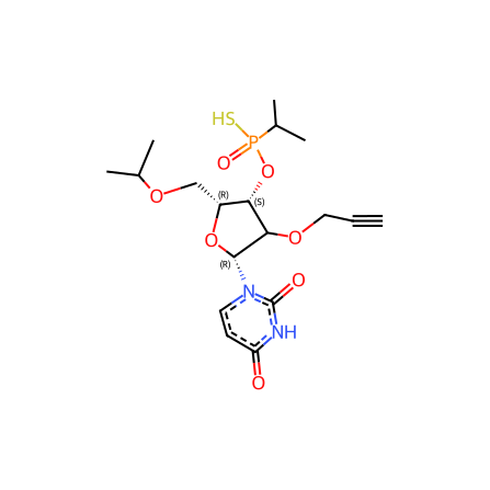 C#CCOC1[C@@H](OP(=O)(S)C(C)C)[C@@H](COC(C)C)O[C@H]1n1ccc(=O)[nH]c1=O